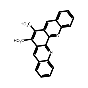 O=C(O)c1c(C(=O)O)c2cc3ccccc3nc2c2nc3ccccc3cc12